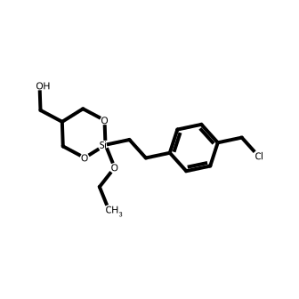 CCO[Si]1(CCc2ccc(CCl)cc2)OCC(CO)CO1